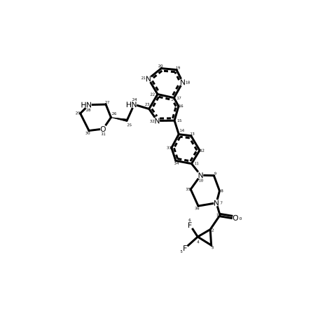 O=C(C1CC1(F)F)N1CCN(c2ccc(-c3cc4nccnc4c(NC[C@@H]4CNCCO4)n3)cc2)CC1